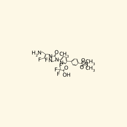 Cc1cc(-c2ccc(S(=O)(=O)N(C)C)cc2)cnc1-n1cnn(CC(CN)=C(F)F)c1=O.O=C(O)C(F)(F)F